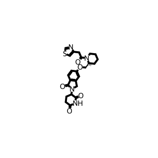 O=C1CCC(N2Cc3cc(OC[C@@H]4CCCCN4C(=O)Cc4cscn4)ccc3C2=O)C(=O)N1